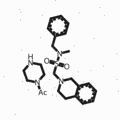 CC(=O)N1CCNCC1.CN(Cc1ccccc1)S(=O)(=O)CN1CCc2ccccc2C1